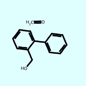 C=O.OCc1ccccc1-c1ccccc1